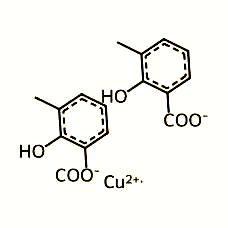 Cc1cccc(C(=O)[O-])c1O.Cc1cccc(C(=O)[O-])c1O.[Cu+2]